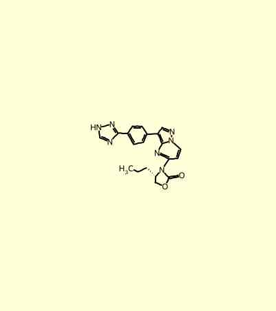 CCC[C@H]1COC(=O)N1c1ccn2ncc(-c3ccc(-c4nc[nH]n4)cc3)c2n1